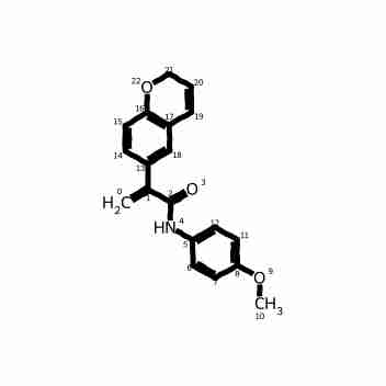 C=C(C(=O)Nc1ccc(OC)cc1)c1ccc2c(c1)C=CCO2